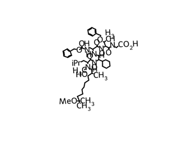 COC(C)(C)CCCCCCC(O)C(C)C(=O)N(C)C(CC(C)C)C(=O)NC(C(=O)NC(CNC(=O)OCc1ccccc1)C(=O)NC(C(=O)NCC(=O)O)C(C)OCc1ccccc1)C1CCCCC1